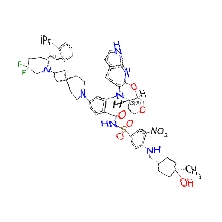 CC(C)c1ccccc1[C@@H]1CCC(F)(F)CN1C1CC2(CCN(c3ccc(C(=O)NS(=O)(=O)c4ccc(NC[C@H]5CC[C@](C)(O)CC5)c([N+](=O)[O-])c4)c(N4c5cc6cc[nH]c6nc5O[C@H]5COCC[C@@H]54)c3)CC2)C1